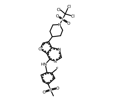 CS(=O)(=O)c1ccc(Nc2ncnc3c(C4CCN(S(=O)(=O)C(Cl)(Cl)Cl)CC4)coc23)c(F)c1